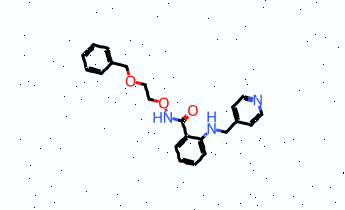 O=C(NOCCOCc1ccccc1)c1ccccc1NCc1ccncc1